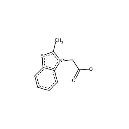 Cc1sc2ccccc2[n+]1CC(=O)[O-]